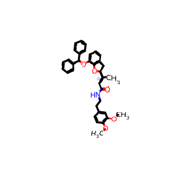 COc1ccc(CCNC(=O)/C=C(\C)C2Cc3cccc(OC(c4ccccc4)c4ccccc4)c3O2)cc1OC